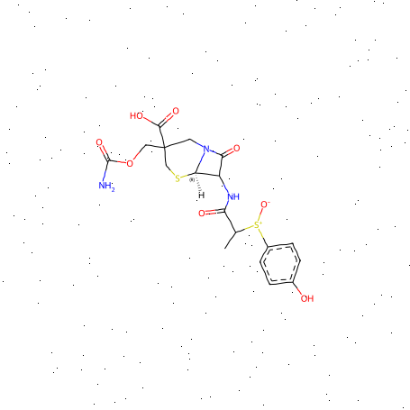 CC(C(=O)NC1C(=O)N2CC(COC(N)=O)(C(=O)O)CS[C@H]12)[S+]([O-])c1ccc(O)cc1